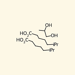 CC(C)CCCCC(=O)O.CC(C)CCCCC(=O)O.CC(O)CO